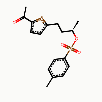 CC(=O)c1ccc(CC[C@@H](C)OS(=O)(=O)c2ccc(C)cc2)s1